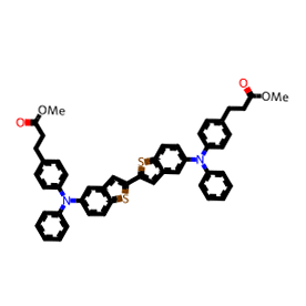 COC(=O)CCc1ccc(N(c2ccccc2)c2ccc3sc(-c4cc5cc(N(c6ccccc6)c6ccc(CCC(=O)OC)cc6)ccc5s4)cc3c2)cc1